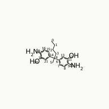 CCCCC(C)(c1ccc(N)c(O)c1)c1ccc(N)c(O)c1